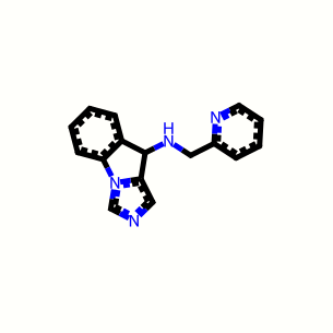 c1ccc(CNC2c3ccccc3-n3cncc32)nc1